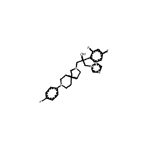 OC(CN1CCC2(CCN(c3ccc(F)cc3)CC2)C1)(Cn1cncn1)c1ccc(F)cc1F